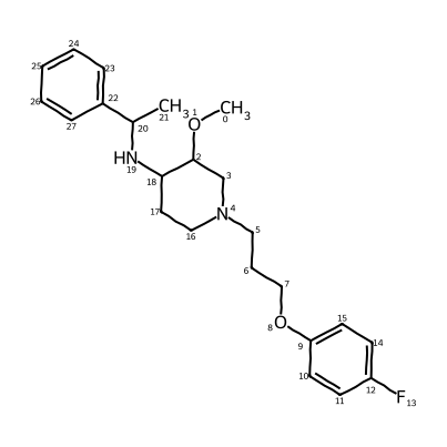 COC1CN(CCCOc2ccc(F)cc2)CCC1NC(C)c1ccccc1